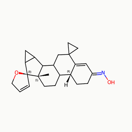 C[C@]12CCC3C(CC4(CC4)C4=CC(=NO)CC[C@@H]43)C1C1CC1[C@@]21C=CCO1